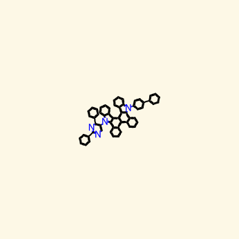 c1ccc(-c2ccc(-n3c4ccccc4c4c5c(c6ccccc6c43)c3ccccc3c3c5c4ccccc4n3-c3cnc(-c4ccccc4)nc3-c3ccccc3)cc2)cc1